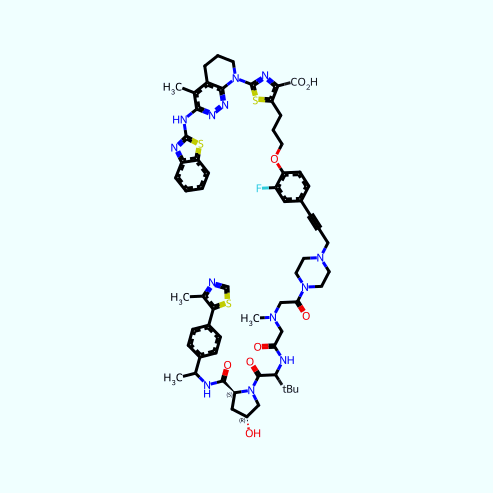 Cc1ncsc1-c1ccc(C(C)NC(=O)[C@@H]2C[C@@H](O)CN2C(=O)C(NC(=O)CN(C)CC(=O)N2CCN(CC#Cc3ccc(OCCCc4sc(N5CCCc6c5nnc(Nc5nc7ccccc7s5)c6C)nc4C(=O)O)c(F)c3)CC2)C(C)(C)C)cc1